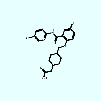 O=C(O)CN1CCC(CNc2ccc(Cl)cc2C(=O)Nc2ccc(Cl)cn2)CC1